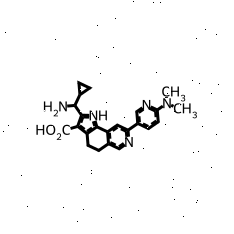 CN(C)c1ccc(-c2cc3c(cn2)CCc2c-3[nH]c(C(N)C3CC3)c2C(=O)O)cn1